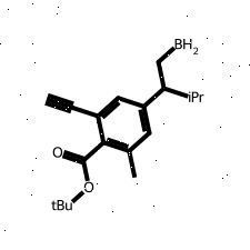 BCC(c1cc(C)c(C(=O)OC(C)(C)C)c(C#C)c1)C(C)C